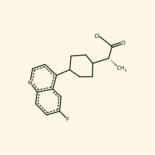 C[C@@H](C(=O)Cl)C1CCC(c2ccnc3ccc(F)cc23)CC1